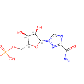 NC(=O)c1ncn([C@H]2O[C@H](COP(=O)(O)O)[C@@H](O)[C@H]2O)n1